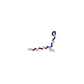 CN(CCOCCOCCO)CCOCCN1CCCC1